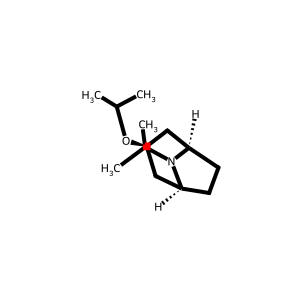 CC(C)O[C@H]1C[C@H]2CC[C@@H](C1)N2C(C)C